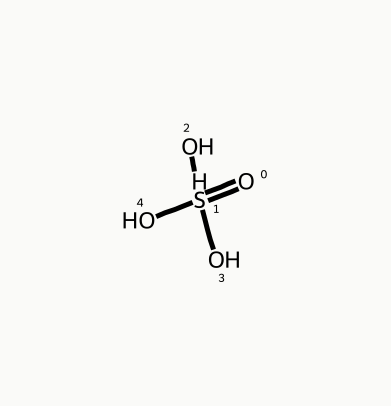 O=[SH](O)(O)O